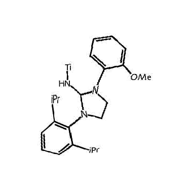 COc1ccccc1N1CCN(c2c(C(C)C)cccc2C(C)C)C1[NH][Ti]